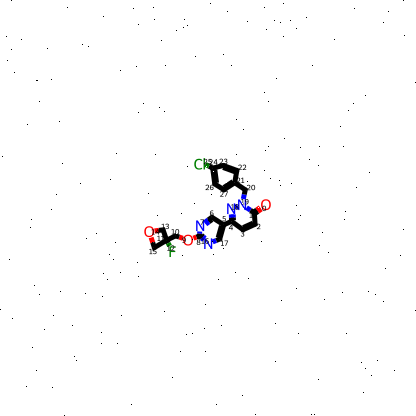 O=c1ccc(-c2cnc(OCC3(F)COC3)nc2)nn1Cc1ccc(Cl)cc1